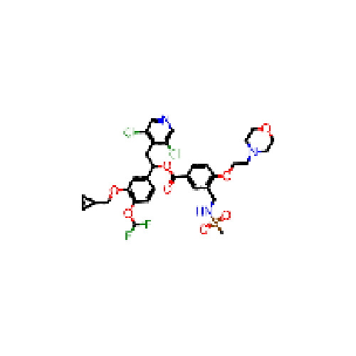 CS(=O)(=O)NCc1cc(C(=O)OC(Cc2c(Cl)cncc2Cl)c2ccc(OC(F)F)c(OCC3CC3)c2)ccc1OCCN1CCOCC1